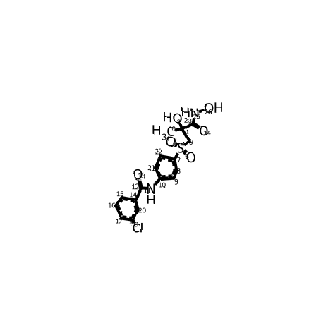 CC(O)(CS(=O)(=O)c1ccc(NC(=O)c2cccc(Cl)c2)cc1)C(=O)NO